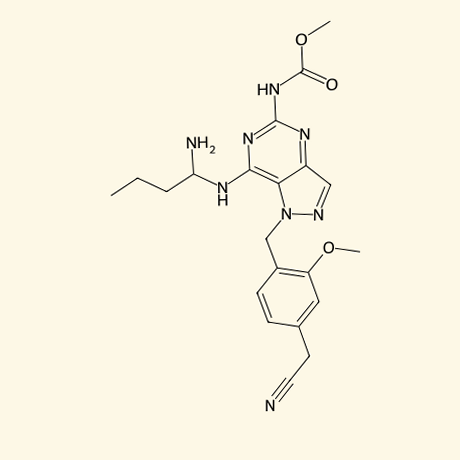 CCCC(N)Nc1nc(NC(=O)OC)nc2cnn(Cc3ccc(CC#N)cc3OC)c12